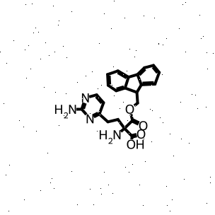 Nc1nccc(CCC(N)(C(=O)O)C(=O)OCC2c3ccccc3-c3ccccc32)n1